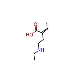 CC=C(CCNCC)C(=O)O